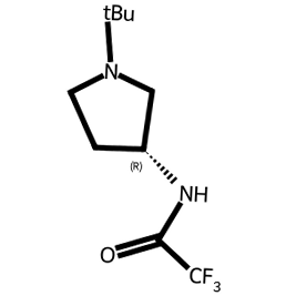 CC(C)(C)N1CC[C@@H](NC(=O)C(F)(F)F)C1